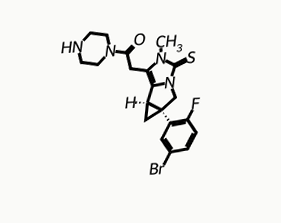 Cn1c(CC(=O)N2CCNCC2)c2n(c1=S)C[C@@]1(c3cc(Br)ccc3F)C[C@@H]21